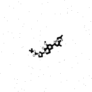 COc1cc(-c2cc(C)c3nc(C)cn3n2)cc2ccn(C3CCN(C(=O)OC(C)(C)C)C3)c(=O)c12